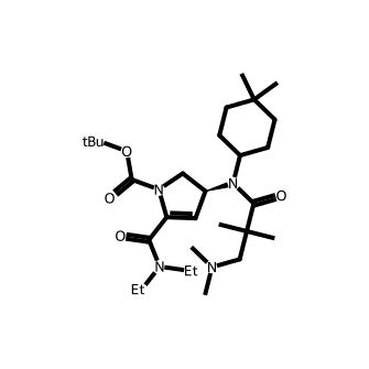 CCN(CC)C(=O)C1=C[C@H](N(C(=O)C(C)(C)CN(C)C)C2CCC(C)(C)CC2)CN1C(=O)OC(C)(C)C